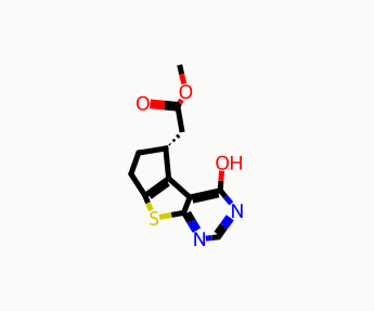 COC(=O)C[C@H]1CCc2sc3ncnc(O)c3c21